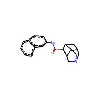 O=C(Nc1ccc2ccccc2c1)C1C2CC3CC1CN(C3)C2